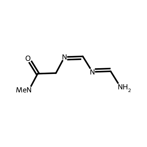 CNC(=O)C/N=C\N=C\N